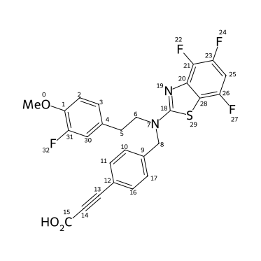 COc1ccc(CCN(Cc2ccc(C#CC(=O)O)cc2)c2nc3c(F)c(F)cc(F)c3s2)cc1F